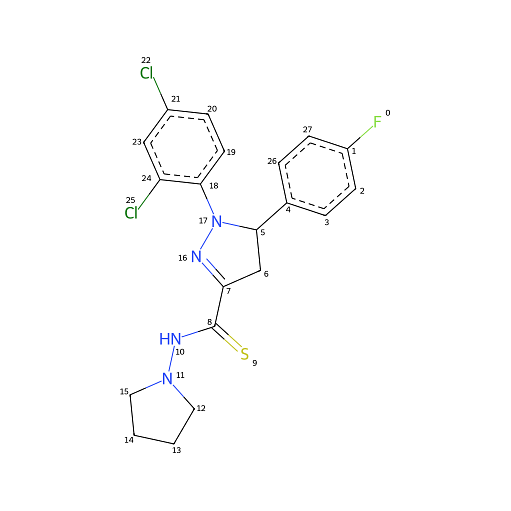 Fc1ccc(C2CC(C(=S)NN3CCCC3)=NN2c2ccc(Cl)cc2Cl)cc1